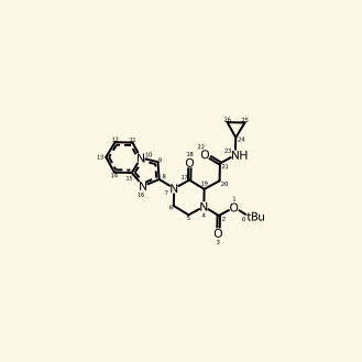 CC(C)(C)OC(=O)N1CCN(c2cn3ccccc3n2)C(=O)C1CC(=O)NC1CC1